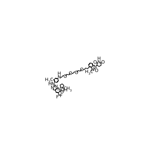 Cc1cc(NCCOCCOCCOCCOCCCc2cccc3c2n(C)c(=O)n3C2CCC(=O)NC2=O)ccc1Nc1ncc2cc(C(F)F)c(=O)n([C@@H]3CCC[C@@]3(C)O)c2n1